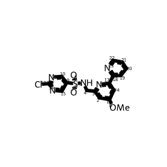 COc1cc(CNS(=O)(=O)c2cnc(Cl)nc2)nc(-c2ccccn2)c1